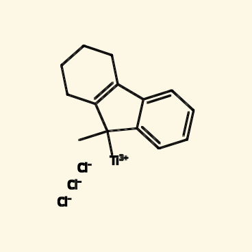 C[C]1([Ti+3])C2=C(CCCC2)c2ccccc21.[Cl-].[Cl-].[Cl-]